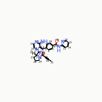 [2H]C1(c2nc(-c3ccc(C(=O)Nc4ccccn4)cc3)c3c(N)nccn23)CCCN1C(=O)C#CC